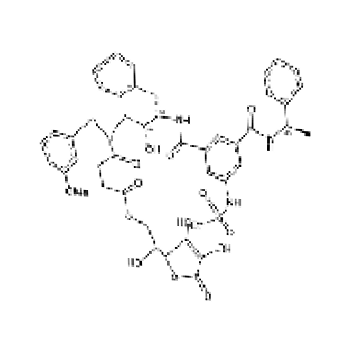 CCS(=O)(=O)Nc1cc(C(=O)N[C@@H](Cc2ccccc2)[C@H](O)CN(Cc2cccc(OC)c2)C(=O)CCC(=O)OCC(O)C2OC(=O)C(O)=C2O)cc(C(=O)N[C@H](C)c2ccccc2)c1